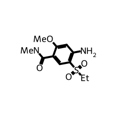 CCS(=O)(=O)c1cc(C(=O)NC)c(OC)cc1N